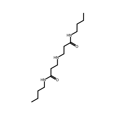 CCCCNC(=O)CCNCCC(=O)NCCCC